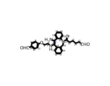 N/C1=C(\NCCOc2ccc(C=O)cc2)c2ccccc2CN(C(=O)CCCCC=O)c2ccccc21